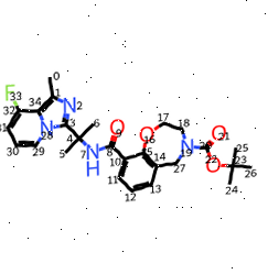 Cc1nc(C(C)(C)NC(=O)c2cccc3c2OCCN(C(=O)OC(C)(C)C)C3)n2cccc(F)c12